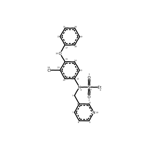 CCS(=O)(=O)N(Cc1cccnc1)c1ccc(Oc2ccccc2)c(Cl)c1